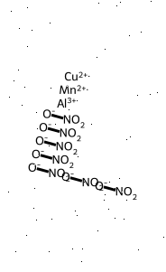 O=[N+]([O-])[O-].O=[N+]([O-])[O-].O=[N+]([O-])[O-].O=[N+]([O-])[O-].O=[N+]([O-])[O-].O=[N+]([O-])[O-].O=[N+]([O-])[O-].[Al+3].[Cu+2].[Mn+2]